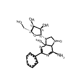 NC1=NC(c2ccccc2)=NC2(O)C1N(Cl)CN2[C@@H]1O[C@H](CO)[C@@H](O)[C@H]1O